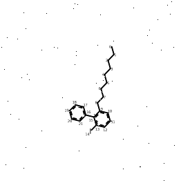 CCCCCCCCCc1cccc(I)c1-c1ccccc1